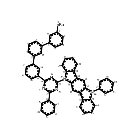 CCCCc1cccc(-c2cccc(-c3cccc(-c4nc(-c5ccccc5)nc(-n5c6ccccc6c6cc7c(cc65)c5ccccc5n7-c5ccccc5)n4)c3)c2)c1